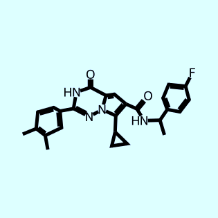 Cc1ccc(-c2nn3c(C4CC4)c(C(=O)NC(C)c4ccc(F)cc4)cc3c(=O)[nH]2)cc1C